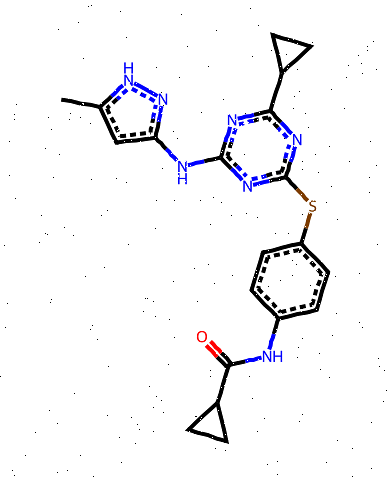 Cc1cc(Nc2nc(Sc3ccc(NC(=O)C4CC4)cc3)nc(C3CC3)n2)n[nH]1